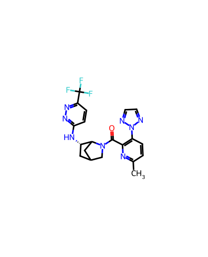 Cc1ccc(-n2nccn2)c(C(=O)N2CC3CC2[C@@H](Nc2ccc(C(F)(F)F)nn2)C3)n1